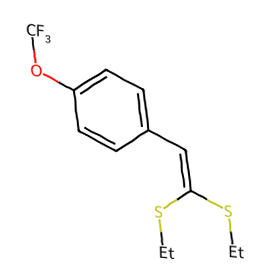 CCSC(=Cc1ccc(OC(F)(F)F)cc1)SCC